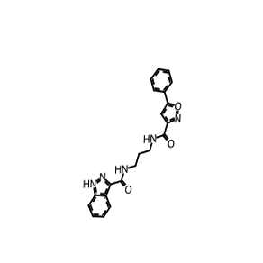 O=C(NCCCNC(=O)c1n[nH]c2ccccc12)c1cc(-c2ccccc2)on1